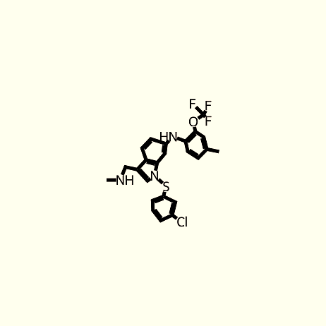 CNCc1cn(Sc2cccc(Cl)c2)c2cc(Nc3ccc(C)cc3OC(F)(F)F)ccc12